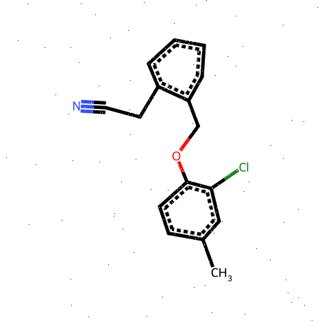 Cc1ccc(OCc2ccccc2CC#N)c(Cl)c1